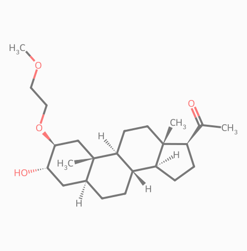 COCCO[C@H]1C[C@@]2(C)[C@@H](CC[C@@H]3[C@@H]2CC[C@]2(C)[C@@H](C(C)=O)CC[C@@H]32)C[C@@H]1O